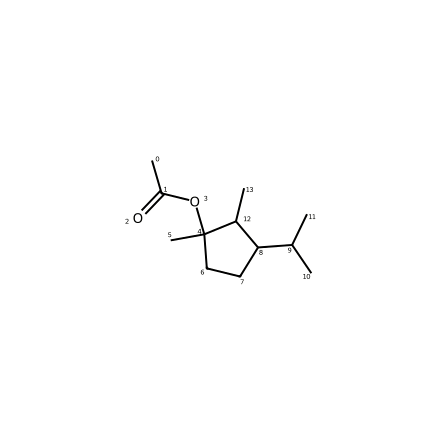 CC(=O)OC1(C)CCC(C(C)C)C1C